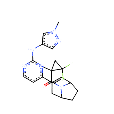 Cn1cc(Nc2nccc(C3=CC4CCC(C3)N4C(=O)C3(C)CC3(F)F)n2)cn1